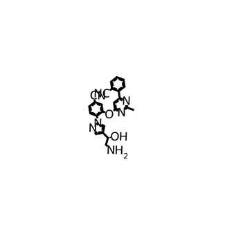 Cc1nc(Oc2cc(C#N)ccc2-n2cc([C@H](O)CN)cn2)cc(-c2ccccc2C#N)n1